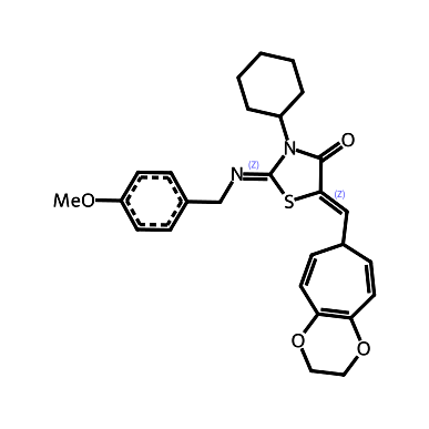 COc1ccc(C/N=C2\S/C(=C\C3C=CC4=C(C=C3)OCCO4)C(=O)N2C2CCCCC2)cc1